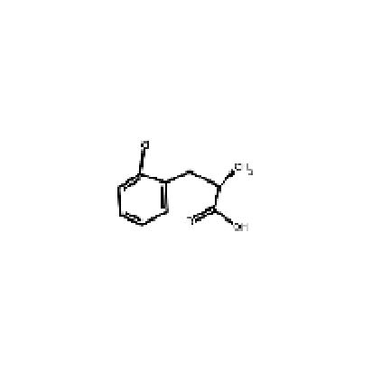 C[C@H](Cc1ccccc1Cl)C(=O)O